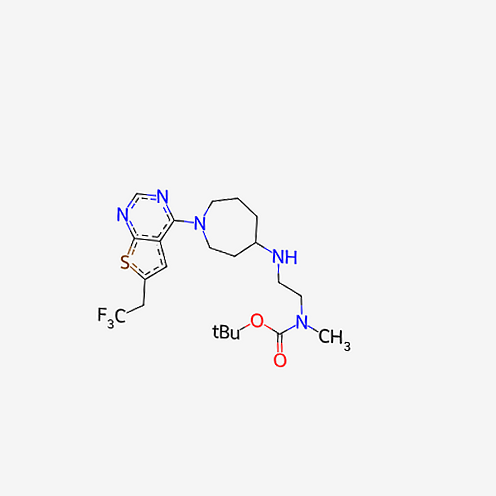 CN(CCNC1CCCN(c2ncnc3sc(CC(F)(F)F)cc23)CC1)C(=O)OC(C)(C)C